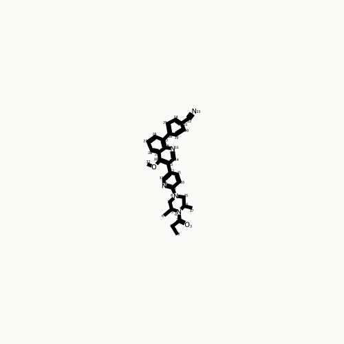 CCC(=O)N1C(C)CN(c2ccc(-c3cnc4c(-c5ccc(C#N)cc5)cccc4c3OC)cn2)CC1C